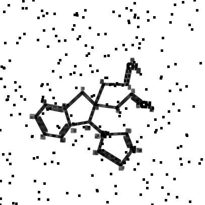 C=CCC1(CC=C)Cc2ccccc2C1n1ccnc1